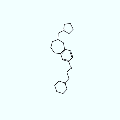 c1cc2c(cc1OCCN1CCCCC1)CCCC(CN1CCCC1)C2